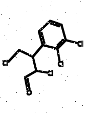 O=CC(Cl)C(CCl)c1cccc(Cl)c1Cl